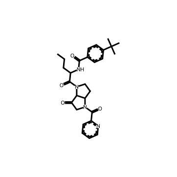 CCCC(NC(=O)c1ccc(C(C)(C)C)cc1)C(=O)N1CCC2C1C(=O)CN2C(=O)c1ccccn1